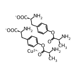 C[C@H](N)C(=O)Oc1ccc(C[C@H](N)C(=O)[O-])cc1.C[C@H](N)C(=O)Oc1ccc(C[C@H](N)C(=O)[O-])cc1.[Cu+2]